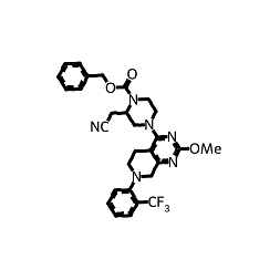 COc1nc2c(c(N3CCN(C(=O)OCc4ccccc4)C(CC#N)C3)n1)CCN(c1ccccc1C(F)(F)F)C2